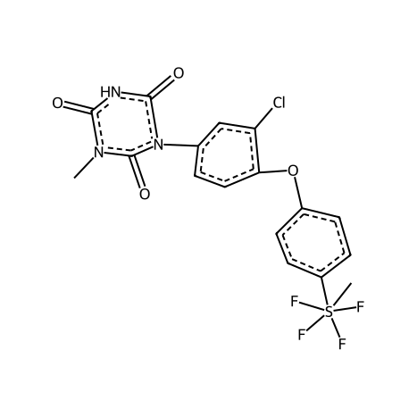 Cn1c(=O)[nH]c(=O)n(-c2ccc(Oc3ccc(S(C)(F)(F)(F)F)cc3)c(Cl)c2)c1=O